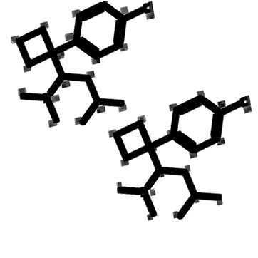 CC(C)CC(N(C)C)C1(c2ccc(Cl)cc2)CCC1.CC(C)CC(N(C)C)C1(c2ccc(Cl)cc2)CCC1